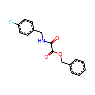 O=C(NCc1ccc(F)cc1)C(=O)OCc1ccccc1